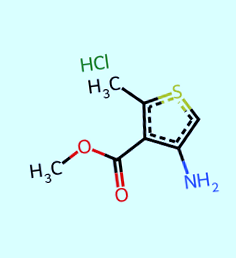 COC(=O)c1c(N)csc1C.Cl